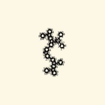 c1ccc(-c2cc(-c3ccccc3)nc(-n3c4ccc(-c5ccc6sc7ccc(-c8ccc9c(c8)c8cc%10c(cc8n9-c8ccccc8)c8ccccc8n%10-c8ccccc8)cc7c6c5)cc4c4cc5c(cc43)c3ccccc3n5-c3ccccc3)n2)cc1